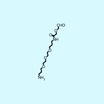 NCCCOCCOCCOCCCNC(=O)COC[C]=O